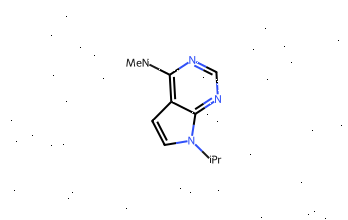 CNc1ncnc2c1ccn2C(C)C